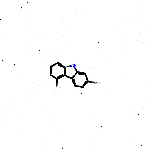 CCCCc1ccc2c(c1)[nH]c1cccc(CCCC)c12